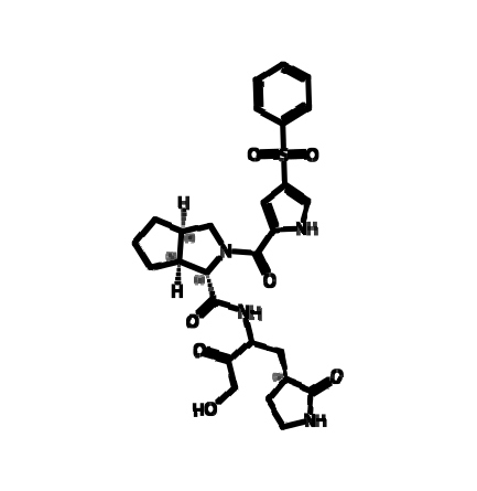 O=C(CO)C(C[C@@H]1CCNC1=O)NC(=O)[C@@H]1[C@H]2CCC[C@H]2CN1C(=O)c1cc(S(=O)(=O)c2ccccc2)c[nH]1